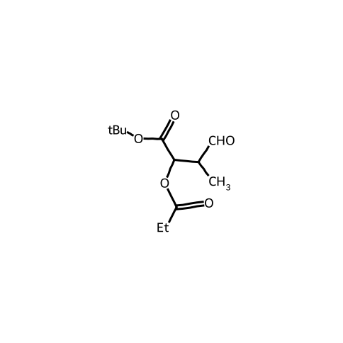 CCC(=O)OC(C(=O)OC(C)(C)C)C(C)C=O